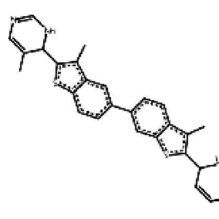 CC1=CN=CNC1c1sc2ccc(-c3ccc4c(C)c(C5C=CN=CN5)sc4c3)cc2c1C